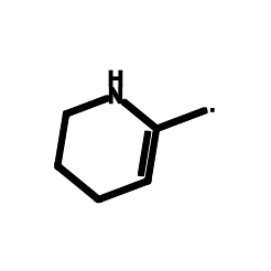 [CH2]C1=CCCCN1